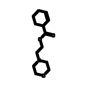 O=C(OCCN1CCOCC1)C1C=CCCC1